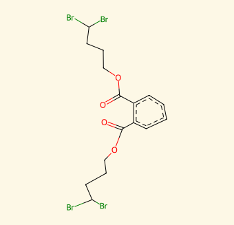 O=C(OCCCC(Br)Br)c1ccccc1C(=O)OCCCC(Br)Br